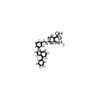 Nc1nc(SCc2cccc(-n3ccc4c(-c5ccccc5)cccc43)c2)ncc1C(=O)O